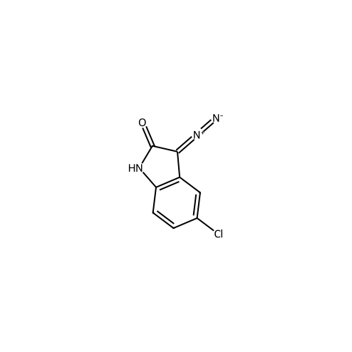 [N-]=[N+]=C1C(=O)Nc2ccc(Cl)cc21